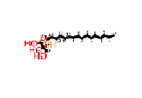 CCCCCCCCCCCCCCCC(=O)PC(O)(CO)CO